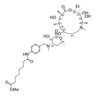 CC[C@H]1OC(=O)[C@H](C)[C@@H](O)[C@H](C)[C@@H](O[C@@H]2O[C@H](C)C[C@H](N(C)Cc3ccc(NC(=O)CCCCCCC(=O)OC)cc3)[C@@H]2O)[C@](C)(O)C[C@@H](C)CN(C)[C@H](C)[C@@H](O)[C@]1(C)O